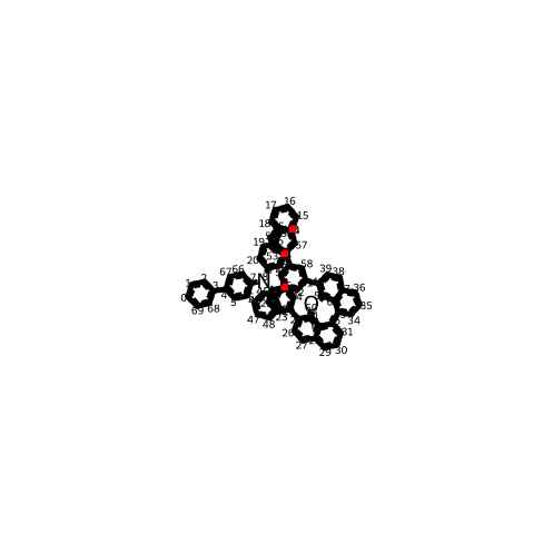 c1ccc(-c2ccc(N(c3ccc(-c4ccccc4)cc3)c3ccc(-c4ccc5cccc6c7cccc8ccc(-c9cc(-c%10ccccc%10)cc(-c%10ccccc%10)c9)c(oc4c56)c87)cc3)cc2)cc1